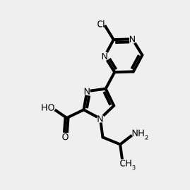 CC(N)Cn1cc(-c2ccnc(Cl)n2)nc1C(=O)O